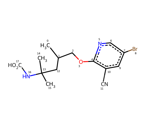 CC(COc1ncc(Br)cc1C#N)CC(C)(C)NC(=O)O